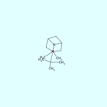 CC(C)N1C2CC1CN(C(C)(C)C)C2